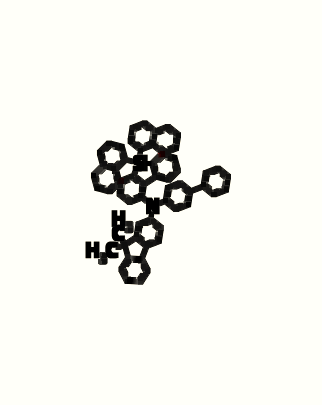 CC1(C)c2ccccc2-c2ccc(N(c3ccc(-c4ccccc4)cc3)c3cccc4c3-c3ccccc3[Si]4(c3cccc4ccccc34)c3cccc4ccccc34)cc21